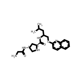 CC(C)CC(COc1ccc2ccccc2n1)NC(=O)[C@@H]1C[C@@H](NC(=O)CN)CN1